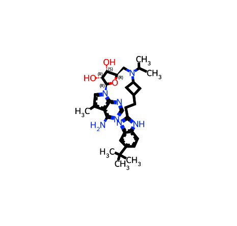 Cc1cn([C@@H]2O[C@H](CN(C(C)C)C3CC(CCc4nc5cc(C(C)(C)C)ccc5[nH]4)C3)[C@@H](O)[C@H]2O)c2ncnc(N)c12